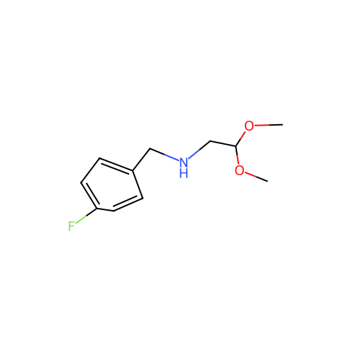 COC(CNCc1ccc(F)cc1)OC